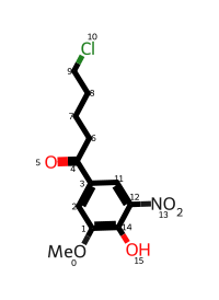 COc1cc(C(=O)CCCCCl)cc([N+](=O)[O-])c1O